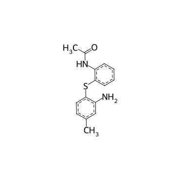 CC(=O)Nc1ccccc1Sc1ccc(C)cc1N